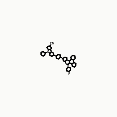 N#Cc1ccc2c(c1)c1cc(-c3ccc(-c4ccc5c(c4)nc(-c4ccc(F)cc4)c4c6ccccc6c6ccccc6c54)cc3)ccc1n2-c1ccccc1